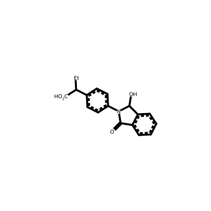 CCC(C(=O)O)c1ccc(N2C(=O)c3ccccc3C2O)cc1